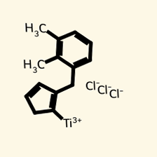 Cc1cccc(CC2=[C]([Ti+3])CC=C2)c1C.[Cl-].[Cl-].[Cl-]